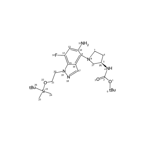 CC(C)(C)OC(=O)N[C@@H]1CCN(c2c(N)cc(F)c3c2cnn3CCO[Si](C)(C)C(C)(C)C)C1